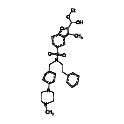 CCOC(O)c1oc2ccc(S(=O)(=O)N(CCc3ccccc3)Cc3ccc(N4CCN(C)CC4)cc3)cc2c1C